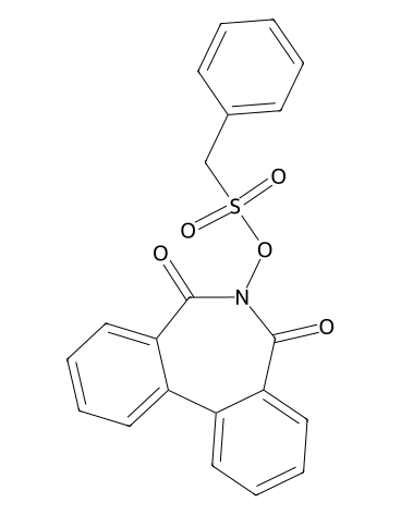 O=c1c2ccccc2c2ccccc2c(=O)n1OS(=O)(=O)Cc1ccccc1